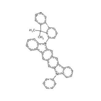 CC1(C)c2ccccc2-c2cccc(-n3c4ccccc4c4cc5cc6c(cc5cc43)c3ccccc3n6-c3ccccc3)c21